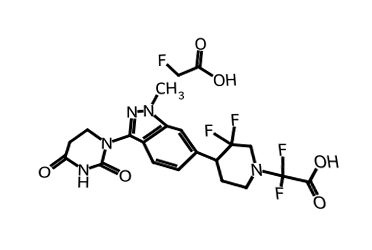 Cn1nc(N2CCC(=O)NC2=O)c2ccc(C3CCN(C(F)(F)C(=O)O)CC3(F)F)cc21.O=C(O)CF